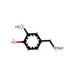 CCCCCCCCc1ccc(O)c(C(=O)O)c1